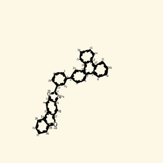 c1cc(-c2ccc3c4ccccc4c4ccccc4c3c2)cc(-c2nc3cc4oc5ccccc5c4cc3o2)c1